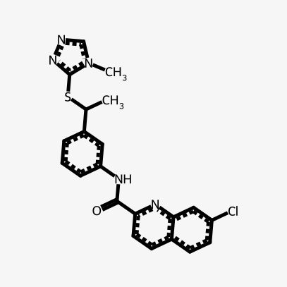 CC(Sc1nncn1C)c1cccc(NC(=O)c2ccc3ccc(Cl)cc3n2)c1